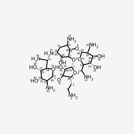 NCC[C@H]1O[C@@H](OC2[C@H](O[C@H]3OC(CN)[C@@H](O)[C@H](O)C3N)C(N)C[C@@H](N)[C@H]2O)[C@@H](O)C1O[C@H]1OC(CN)[C@@H](O)[C@@H](O)C1N